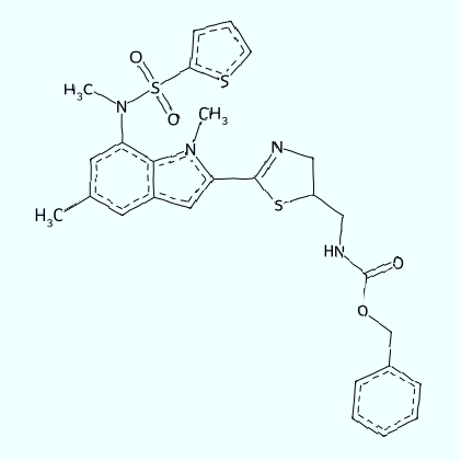 Cc1cc(N(C)S(=O)(=O)c2cccs2)c2c(c1)cc(C1=NCC(CNC(=O)OCc3ccccc3)S1)n2C